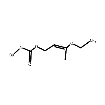 CCC(C)NC(=O)OC/C=C(\C)OCC(F)(F)F